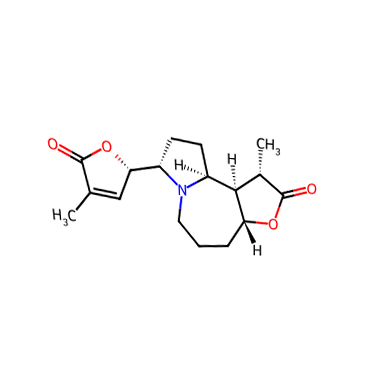 CC1=C[C@@H]([C@@H]2CC[C@H]3[C@H]4[C@H](C)C(=O)O[C@@H]4CCCN32)OC1=O